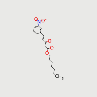 CCCCCCCOC(=O)CC(=O)C=Cc1cccc([N+](=O)[O-])c1